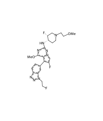 COCCN1CC[C@H](Nc2nc(OC)c3c(-c4ccc5nnn(CCF)c5c4)c(F)cn3n2)[C@H](F)C1